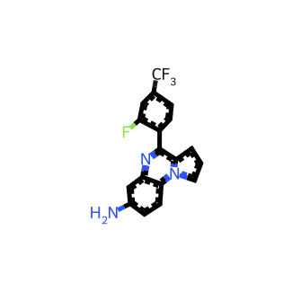 Nc1ccc2c(c1)nc(-c1ccc(C(F)(F)F)cc1F)c1cccn12